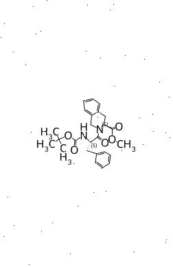 COC(=O)[C@@H]1Cc2ccccc2CN1C(=O)[C@H](Cc1ccccc1)NC(=O)OC(C)(C)C